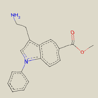 COC(=O)c1ccc2c(c1)c(CCN)cn2-c1ccccc1